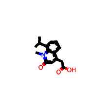 CC(C)c1cccc2c(CC(=O)O)cc(=O)n(C)c12